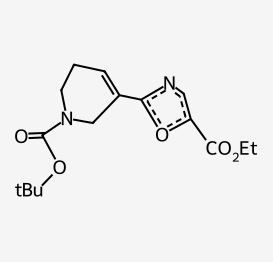 CCOC(=O)c1cnc(C2=CCCN(C(=O)OC(C)(C)C)C2)o1